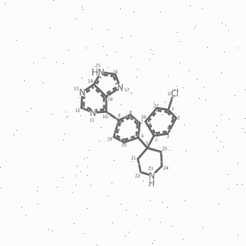 Clc1ccc(C2(c3ccc(-c4ncnc5[nH]cnc45)cc3)CCNCC2)cc1